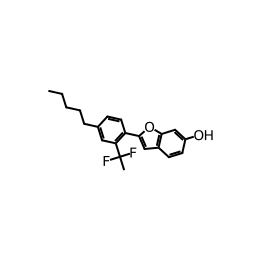 CCCCCc1ccc(-c2cc3ccc(O)cc3o2)c(C(C)(F)F)c1